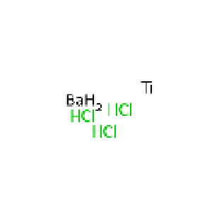 Cl.Cl.Cl.[BaH2].[Ti]